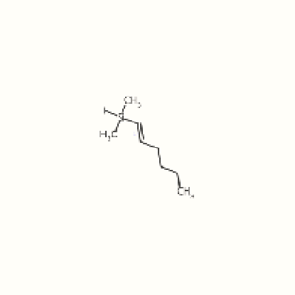 CCCC/C=C/[Si](C)(C)I